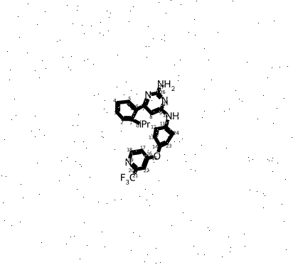 CC(C)c1ccccc1-c1cc(Nc2ccc(Oc3ccnc(C(F)(F)F)c3)cc2)nc(N)n1